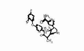 CC(C(=O)Nc1ccc(Oc2ccc(F)cc2F)cn1)C1CNCC(c2ccnc(C(N)=O)c2)C1(F)F